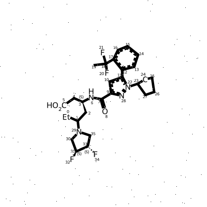 CCC(C[C@@H](CC(=O)O)NC(=O)c1cc(-c2ccccc2C(C)(F)F)n(C2CCCC2)n1)N1C[C@H](F)[C@@H](F)C1